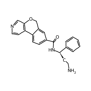 NCC[C@@H](NC(=O)c1ccc2c(c1)COc1cnccc1-2)c1ccccc1